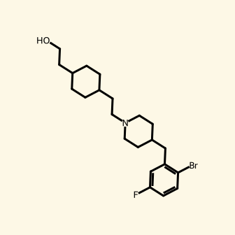 OCCC1CCC(CCN2CCC(Cc3cc(F)ccc3Br)CC2)CC1